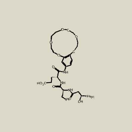 CCCCCCCC(O)CC(=O)N[C@@H](CC(C)C)C(=O)N[C@H](CCC(=O)O)C(=O)Nc1ccc2c(c1)OCCOCCOCCOCCO2